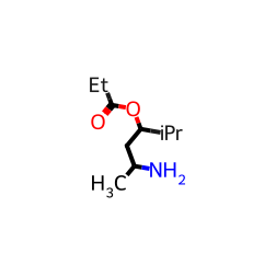 CCC(=O)OC(CC(C)N)C(C)C